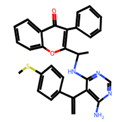 C=C(c1ccc(SC)cc1)c1c(N)ncnc1NC(C)c1oc2ccccc2c(=O)c1-c1ccccc1